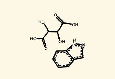 O=C(O)C(O)C(O)C(=O)O.c1ccc2[nH]ncc2c1